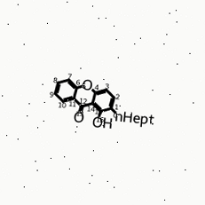 CCCCCCCc1ccc2oc3ccccc3c(=O)c2c1O